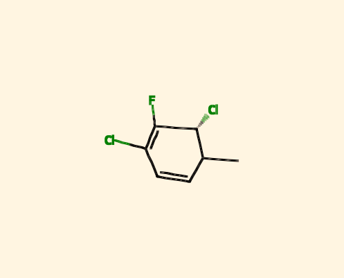 CC1C=CC(Cl)=C(F)[C@@H]1Cl